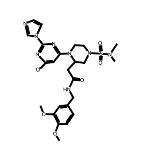 COc1ccc(CNC(=O)CC2CN(S(=O)(=O)N(C)C)CCN2c2cc(Cl)nc(-n3ccnc3)n2)cc1OC